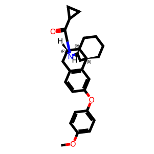 COc1ccc(Oc2ccc3c(c2)[C@@]24CCCC[C@H]2[C@@H](C3)N(C(=O)C2CC2)CC4)cc1